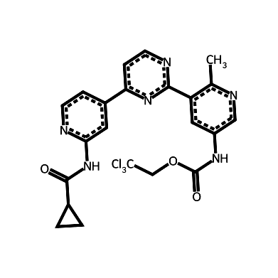 Cc1ncc(NC(=O)OCC(Cl)(Cl)Cl)cc1-c1nccc(-c2ccnc(NC(=O)C3CC3)c2)n1